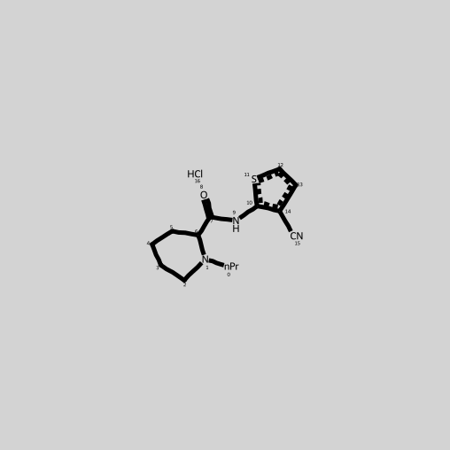 CCCN1CCCCC1C(=O)Nc1sccc1C#N.Cl